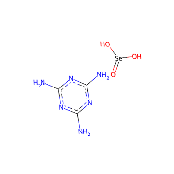 Nc1nc(N)nc(N)n1.O=[Se](O)O